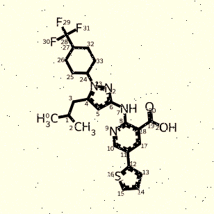 CC(C)Cc1cc(Nc2ncc(-c3cccs3)cc2C(=O)O)nn1C1CCC(C(F)(F)F)CC1